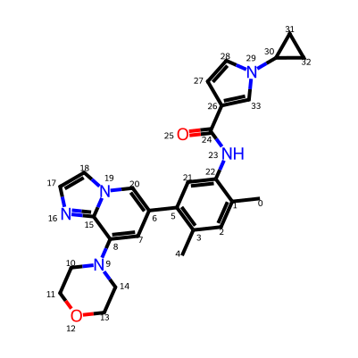 Cc1cc(C)c(-c2cc(N3CCOCC3)c3nccn3c2)cc1NC(=O)c1ccn(C2CC2)c1